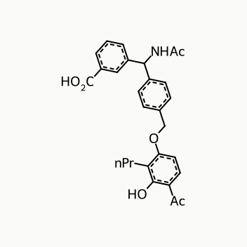 CCCc1c(OCc2ccc(C(NC(C)=O)c3cccc(C(=O)O)c3)cc2)ccc(C(C)=O)c1O